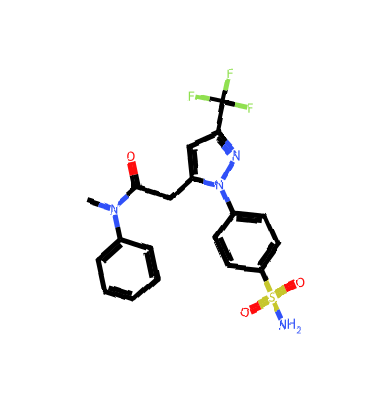 CN(C(=O)Cc1cc(C(F)(F)F)nn1-c1ccc(S(N)(=O)=O)cc1)c1ccccc1